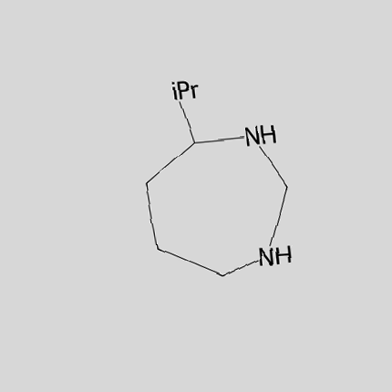 CC(C)C1CCCNCN1